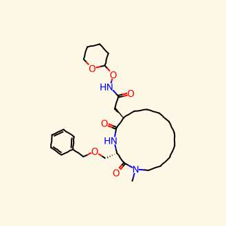 CN1CCCCCCCCC[C@H](CC(=O)NOC2CCCCO2)C(=O)N[C@@H](COCc2ccccc2)C1=O